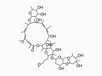 COCCCC1OC(O)(C(C)C2CC(C)C(O)/C=C(C)/C=C(C)/C=C(\C)C(OC3OC(C)C(O)C(O)C3O)C(C)/C=C(C)/C=C(OC)/C=C(\C)C(=O)O2)C(OC)C(O)C1(C)OC1CC(O)C(OC2CC(C)(O)C(O)C(C)O2)C(C)O1